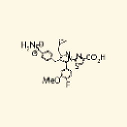 COc1cc(-c2c(Cc3ccc(S(N)(=O)=O)cc3)c(CC3CC3)nn2-c2nc(C(=O)O)cs2)ccc1F